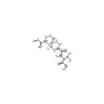 C=CC(=O)N1CCOC2(CCN(C(=O)N(C)C(C(=O)OC)C(C)C)CC2)[C@@H]1C